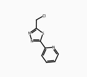 ClCc1nnc(-c2ccccn2)s1